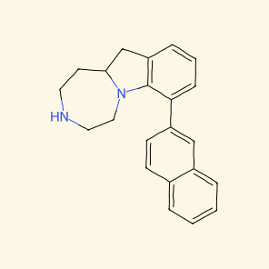 c1cc2c(c(-c3ccc4ccccc4c3)c1)N1CCNCCC1C2